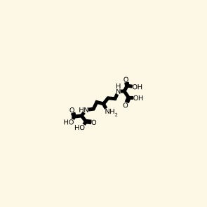 NC(CCNC(C(=O)O)C(=O)O)CCNC(C(=O)O)C(=O)O